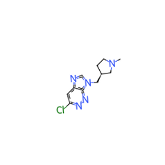 CN1CC[C@H](Cn2cnc3cc(Cl)nnc32)C1